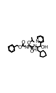 CC(C)O[C@H](NC(=O)OCc1ccccc1)C(=O)NC(CC1CCCCC1)[C@@H](O)c1ccccn1